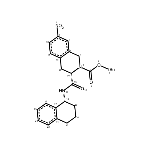 CC(C)(C)OC(=O)N1Cc2cc([N+](=O)[O-])ccc2C[C@H]1C(=O)N[C@@H]1CCCc2ccccc21